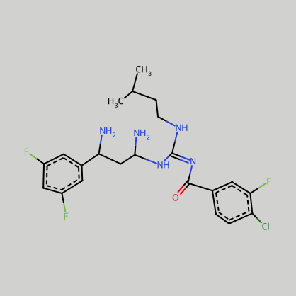 CC(C)CCN/C(=N/C(=O)c1ccc(Cl)c(F)c1)NC(N)CC(N)c1cc(F)cc(F)c1